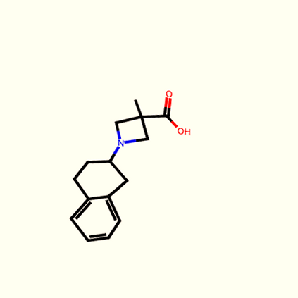 CC1(C(=O)O)CN(C2CCc3ccccc3C2)C1